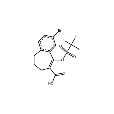 O=C(O)C1=C(OS(=O)(=O)C(F)(F)F)c2cc(Br)ccc2CCC1